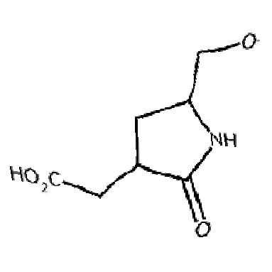 [O]CC1CC(CC(=O)O)C(=O)N1